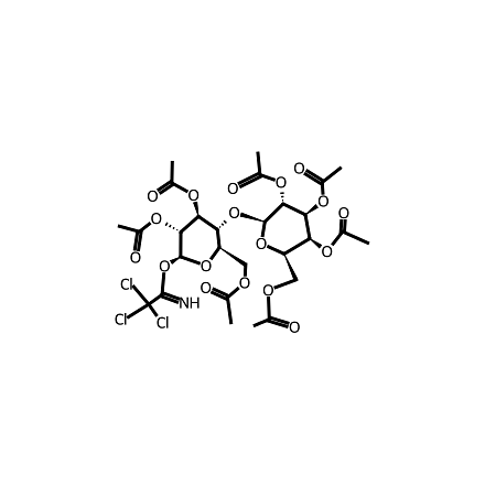 CC(=O)OC[C@H]1O[C@@H](O[C@H]2[C@H](OC(C)=O)[C@@H](OC(C)=O)[C@H](OC(=N)C(Cl)(Cl)Cl)O[C@@H]2COC(C)=O)[C@H](OC(C)=O)[C@@H](OC(C)=O)[C@H]1OC(C)=O